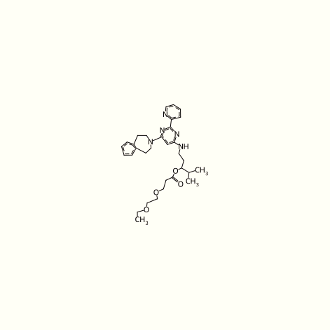 CCOCCOCCC(=O)OC(CCNc1cc(N2CCc3ccccc3CC2)nc(-c2ccccn2)n1)C(C)C